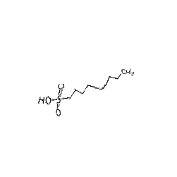 CCCCCC[CH]CS(=O)(=O)O